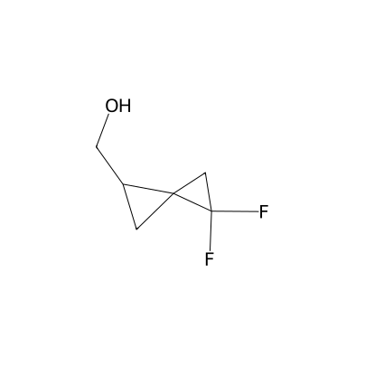 OCC1CC12CC2(F)F